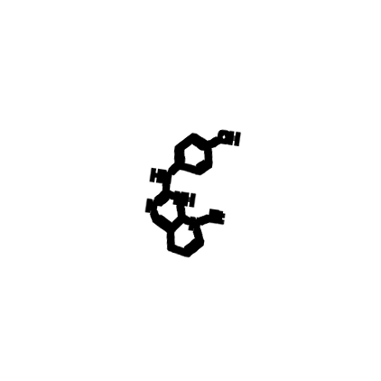 CCN1C=CCC2=CN=C(Nc3ccc(O)cc3)NC21